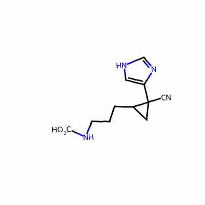 N#CC1(c2c[nH]cn2)CC1CCCNC(=O)O